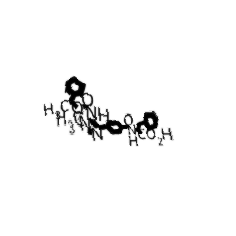 CC(OC(=O)Nc1c(-c2ccc(C(=O)NC(Cc3ccccc3)C(=O)O)cc2)ncn1C)c1ccccc1